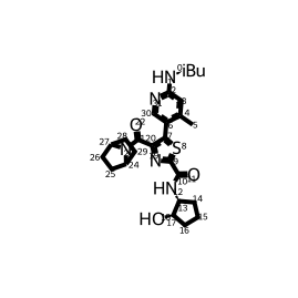 CC[C@@H](C)Nc1cc(C)c(-c2sc(C(=O)N[C@@H]3CCC[C@H]3O)nc2C(=O)N2C3CCC2CC3)cn1